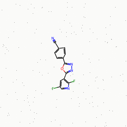 N#Cc1ccc(-c2nnc(-c3cc(F)cnc3F)o2)cc1